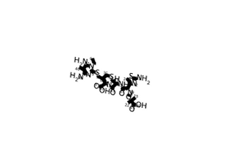 CCN1C(SCC2=C(C(=O)O)N3C(=O)C(NC(=O)/C(=N\OC(C)(C)C(=O)O)c4csc(N)n4)[C@@H]3SC2)=NC(N)=C(C)C1N